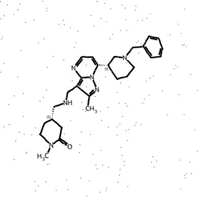 Cc1nn2c([C@H]3CCCN(Cc4ccccc4)C3)ccnc2c1CNC[C@H]1CCN(C)C(=O)C1